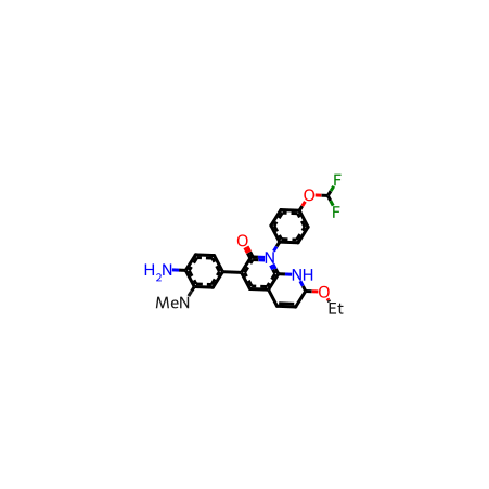 CCOC1C=Cc2cc(-c3ccc(N)c(NC)c3)c(=O)n(-c3ccc(OC(F)F)cc3)c2N1